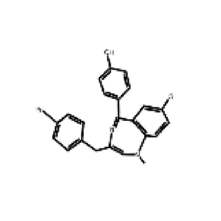 CC(C)c1ccc(CC2=CN(C)c3ccc(Cl)cc3C(c3ccc(O)cc3)=N2)cc1